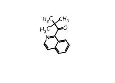 CC(C)(C)C(=O)c1nccc2ccccc12